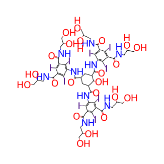 O=C(NCC(O)CO)c1c(I)c(NC(=O)C2CC(C(=O)Nc3c(I)c(C(=O)NCC(O)CO)c(I)c(C(=O)NCC(O)CO)c3I)C(O)C(C(=O)Nc3c(I)c(C(=O)NCC(O)CO)c(I)c(C(=O)NCC(O)CO)c3I)C2)c(I)c(C(=O)NCC(O)CO)c1I